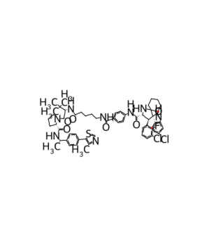 Cc1ncsc1-c1ccc([C@H](C)NC(=O)[C@@H]2CCCN2C(=O)[C@@H](NC(=O)CCCCNC(=O)c2ccc(NC(=O)[C@@H]3NC4(CCCCC4)[C@@]4(C(=O)Nc5cc(Cl)ccc54)[C@H]3c3cccc(Cl)c3F)cc2)C(C)(C)C)cc1